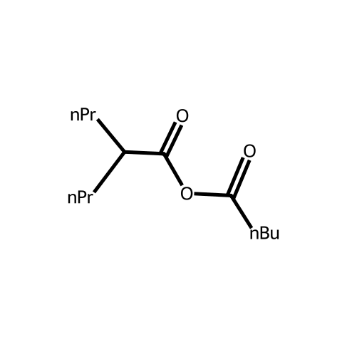 CCCCC(=O)OC(=O)C(CCC)CCC